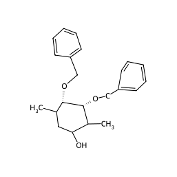 CC1C(O)CC(C)[C@H](OCc2ccccc2)[C@@H]1OCc1ccccc1